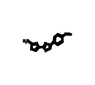 COc1ccc(-c2csc(-c3csc(N)n3)n2)cc1